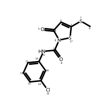 CSc1cc(=O)n(C(=O)Nc2cccc(Cl)c2)s1